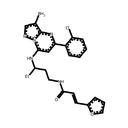 Bc1cnn2c(NC(CC)CCNC(=O)/C=C/c3ccco3)cc(-c3ccccc3Cl)nc12